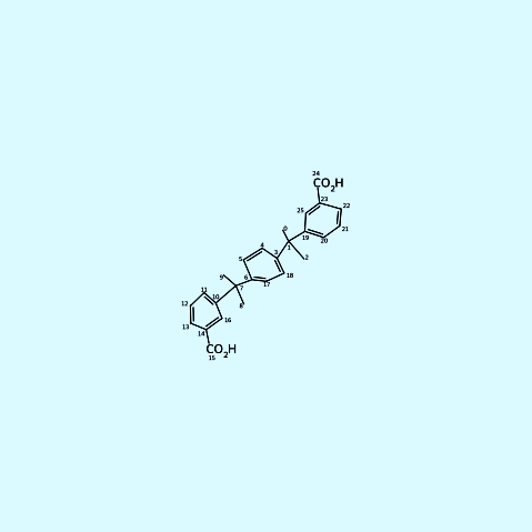 CC(C)(c1ccc(C(C)(C)c2cccc(C(=O)O)c2)cc1)c1cccc(C(=O)O)c1